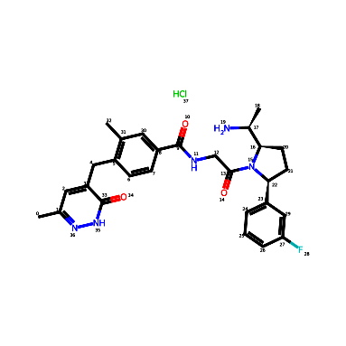 Cc1cc(Cc2ccc(C(=O)NCC(=O)N3[C@@H]([C@H](C)N)CC[C@H]3c3cccc(F)c3)cc2C)c(=O)[nH]n1.Cl